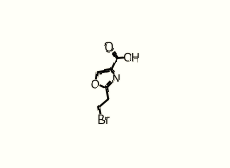 O=C(O)c1coc(CCBr)n1